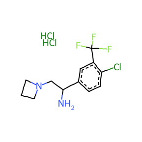 Cl.Cl.NC(CN1CCC1)c1ccc(Cl)c(C(F)(F)F)c1